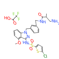 COc1cccc2c1c(NS(=O)(=O)c1ccc(Cl)s1)nn2Cc1cccc(CNC(=O)C(C)CN)c1.O=C(O)C(F)(F)F